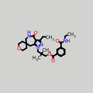 CCNC(=O)c1cccc(C(=O)OCC(C)(C)Cn2nc(CC)c3c2CC2(CCOCC2)CNC3=O)c1